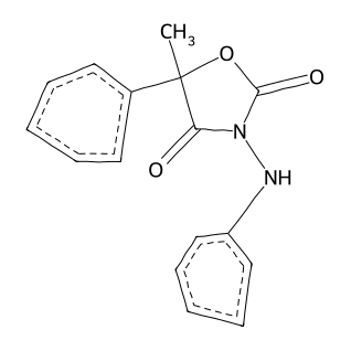 CC1(c2ccccc2)OC(=O)N(Nc2ccccc2)C1=O